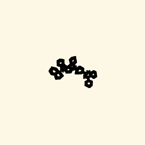 c1ccc(-c2nc(-c3ccc(-n4c5ccccc5c5c6c7ccccc7n(-c7cccc8ccccc78)c6ccc54)cc3)nc3ccccc23)cc1